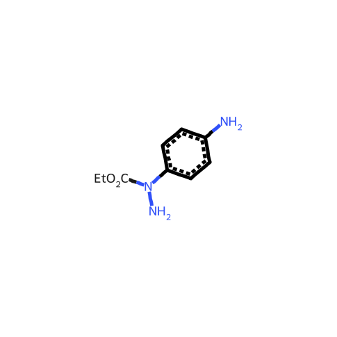 CCOC(=O)N(N)c1ccc(N)cc1